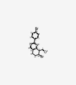 O=CC1c2nc(-c3ccc(Br)cc3)ncc2CCC1Br